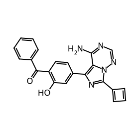 Nc1ncnn2c(C3=CC=C3)nc(-c3ccc(C(=O)c4ccccc4)c(O)c3)c12